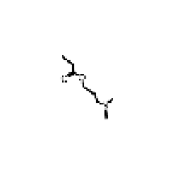 CCC(=O)OCCCN(C)C